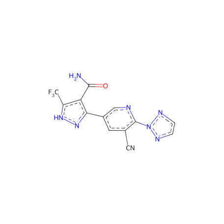 N#Cc1cc(-c2n[nH]c(C(F)(F)F)c2C(N)=O)cnc1-n1nccn1